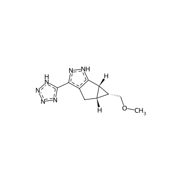 COC[C@@H]1[C@@H]2Cc3c(-c4nnn[nH]4)n[nH]c3[C@H]12